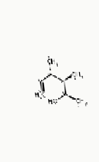 C=C[C@H](C)[C@@H](C)[C@@H](C)O